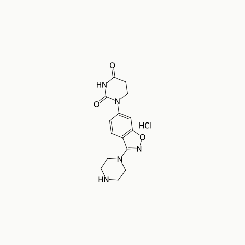 Cl.O=C1CCN(c2ccc3c(N4CCNCC4)noc3c2)C(=O)N1